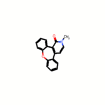 Cn1ccc2c(c1=O)-c1ccccc1Oc1ccccc1-2